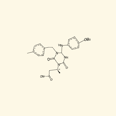 Cc1ccc(CN2C(=O)N([C@@H](C)CC(=O)N=O)C(=O)NC2Nc2ccc(OCC(C)C)cc2)cc1